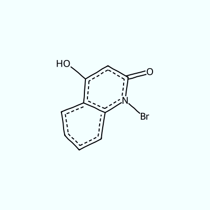 O=c1cc(O)c2ccccc2n1Br